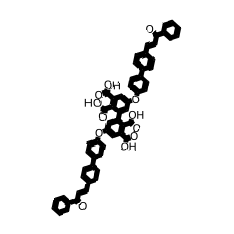 O=C(C=Cc1ccc(-c2ccc(Oc3cc(C(=O)O)c(C(=O)O)c(-c4cc(Oc5ccc(-c6ccc(C=CC(=O)c7ccccc7)cc6)cc5)cc(C(=O)O)c4C(=O)O)c3)cc2)cc1)c1ccccc1